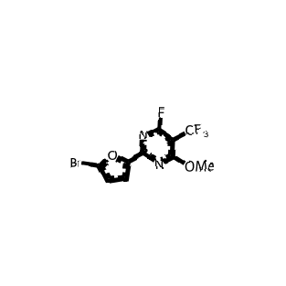 COc1nc(-c2ccc(Br)o2)nc(F)c1C(F)(F)F